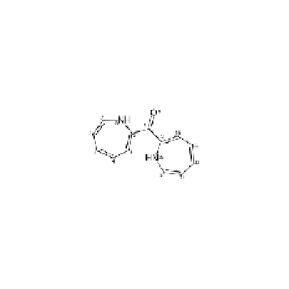 O=C(C1=CC=CC=CN1)C1=CC=CC=CN1